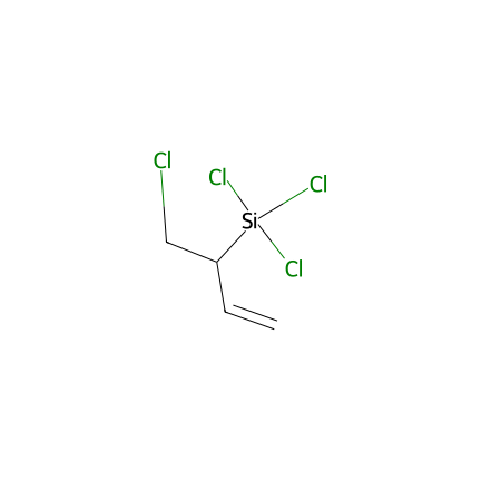 C=CC(CCl)[Si](Cl)(Cl)Cl